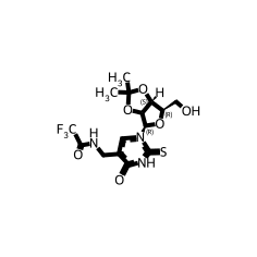 CC1(C)OC2[C@@H](O1)[C@@H](CO)O[C@H]2n1cc(CNC(=O)C(F)(F)F)c(=O)[nH]c1=S